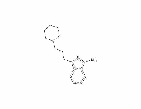 Nc1nn(CCCN2CCCCC2)c2ccccc12